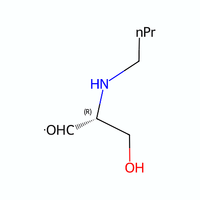 CCCCN[C@@H]([C]=O)CO